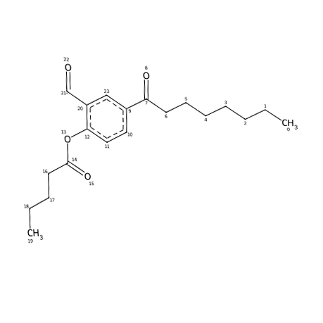 CCCCCCCC(=O)c1ccc(OC(=O)CCCC)c([C]=O)c1